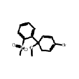 COC1(c2ccccc2S(C)(=O)=O)C=CC(Br)=CC1